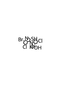 O=C(O)c1cc(Cl)ccc1Nc1c(S)cnc2c(Br)cc(Cl)cc12